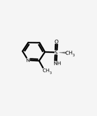 Cc1ncccc1[S@](C)(=N)=O